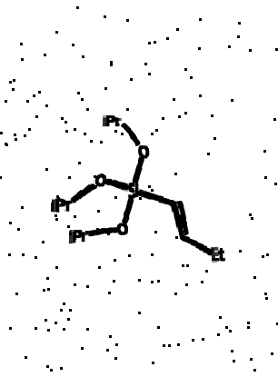 CCC=C[Si](OC(C)C)(OC(C)C)OC(C)C